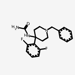 NC(=O)NC1(c2c(F)cccc2F)CCN(Cc2ccccc2)CC1